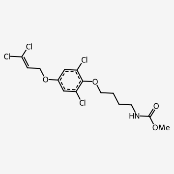 COC(=O)NCCCCOc1c(Cl)cc(OCC=C(Cl)Cl)cc1Cl